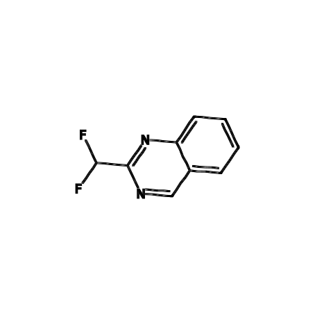 FC(F)c1ncc2ccccc2n1